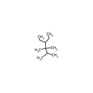 [CH2]C(C)C(C)(C)C(CC)CC